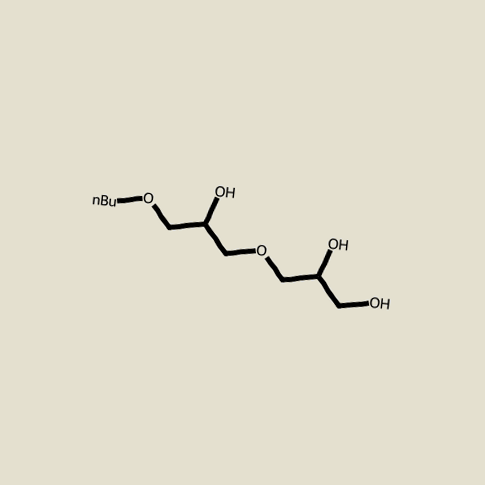 CCCCOCC(O)COCC(O)CO